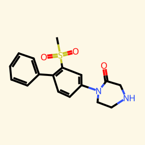 CS(=O)(=O)c1cc(N2CCNCC2=O)ccc1-c1ccccc1